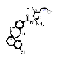 C/C=C\C[C@H](C)C[S@](N)(=O)=NC(=O)c1ccc2c(c1)NC[C@@]1(CCCc3cc(Cl)ccc31)CO2